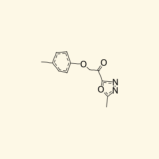 Cc1ccc(OCC(=O)c2nnc(C)o2)cc1